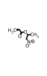 C=CC(=O)OC(C)C[N+](=O)[O-]